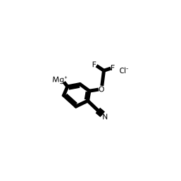 N#Cc1cc[c]([Mg+])cc1OC(F)F.[Cl-]